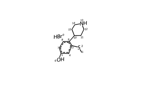 Br.CSc1cc(O)ccc1C1CCNCC1